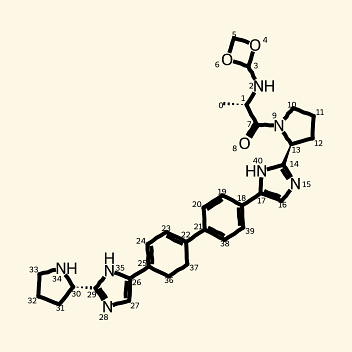 C[C@H](NC1OCO1)C(=O)N1CCC[C@H]1c1ncc(-c2ccc(C3=CC=C(c4cnc([C@@H]5CCCN5)[nH]4)CC3)cc2)[nH]1